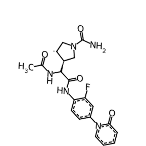 CC(=O)NC(C(=O)Nc1ccc(-n2ccccc2=O)cc1F)[C@H]1[CH]CN(C(N)=O)C1